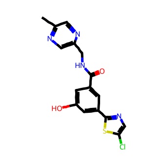 Cc1cnc(CNC(=O)c2cc(O)cc(-c3ncc(Cl)s3)c2)cn1